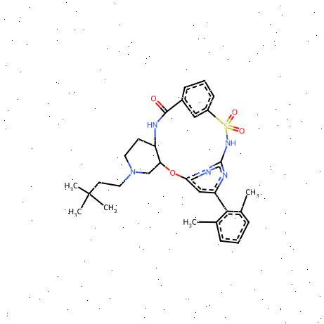 Cc1cccc(C)c1-c1cc2nc(n1)NS(=O)(=O)c1cccc(c1)C(=O)NC1CCN(CCC(C)(C)C)CC1O2